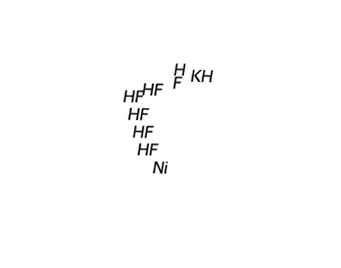 F.F.F.F.F.F.[KH].[Ni]